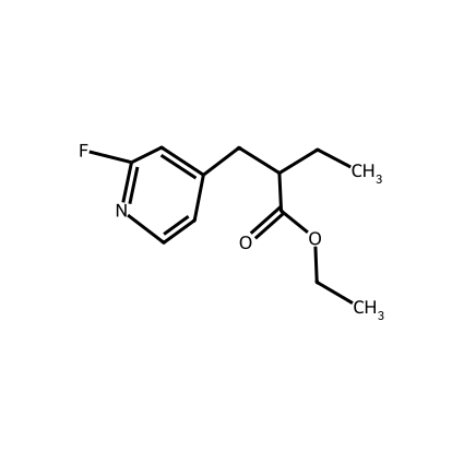 CCOC(=O)C(CC)Cc1ccnc(F)c1